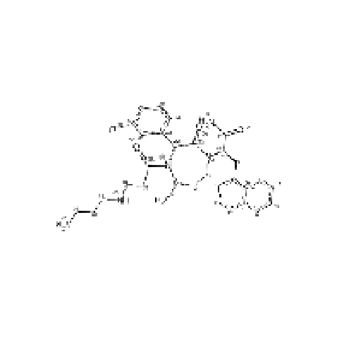 CC1CCN([C@H](Cc2cccc3ccccc23)C(N)=O)C(=O)C(c2cccc(Cl)c2)N1C(=O)CCNCCCN